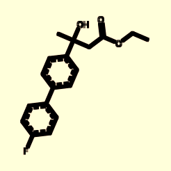 CCOC(=O)CC(C)(O)c1ccc(-c2ccc(F)cc2)cc1